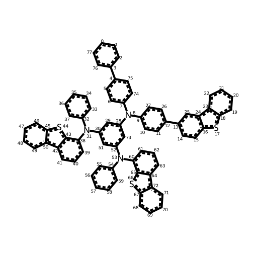 c1ccc(-c2ccc(N(c3ccc(-c4ccc5sc6ccccc6c5c4)cc3)c3cc(N(c4ccccc4)c4cccc5c4sc4ccccc45)cc(N(c4ccccc4)c4cccc5c4sc4ccccc45)c3)cc2)cc1